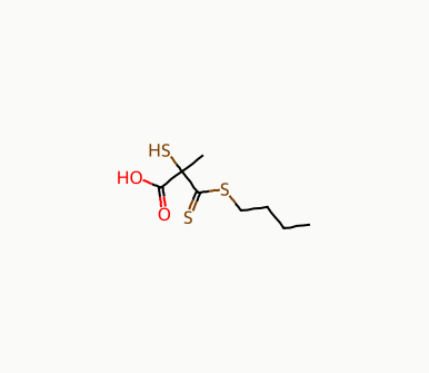 CCCCSC(=S)C(C)(S)C(=O)O